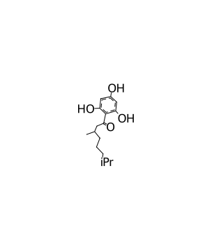 CC(C)CCCC(C)CC(=O)c1c(O)cc(O)cc1O